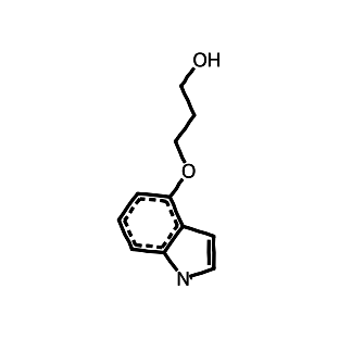 OCCCOc1cccc2c1C=C[N]2